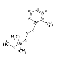 C[Si](C)(CO)CCCN1C=CC=NC1N